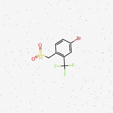 O=[SH](=O)Cc1ccc(Br)cc1C(F)(F)F